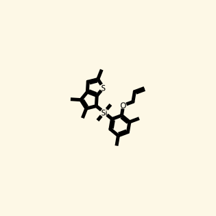 C=CCOc1c(C)cc(C)cc1[Si](C)(C)C1C(C)=C(C)c2cc(C)sc21